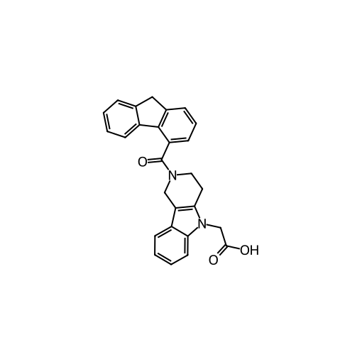 O=C(O)Cn1c2c(c3ccccc31)CN(C(=O)c1cccc3c1-c1ccccc1C3)CC2